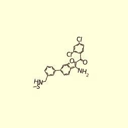 CSNCc1cccc(-c2ccc3c(N)c(C(=O)c4ccc(Cl)cc4Cl)oc3c2)c1